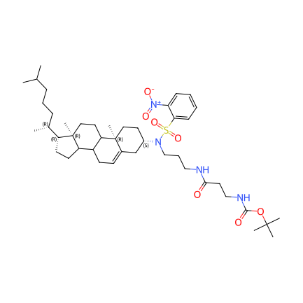 CC(C)CCC[C@@H](C)[C@H]1CCC2C3CC=C4C[C@@H](N(CCCNC(=O)CCNC(=O)OC(C)(C)C)S(=O)(=O)c5ccccc5[N+](=O)[O-])CC[C@]4(C)C3CC[C@@]21C